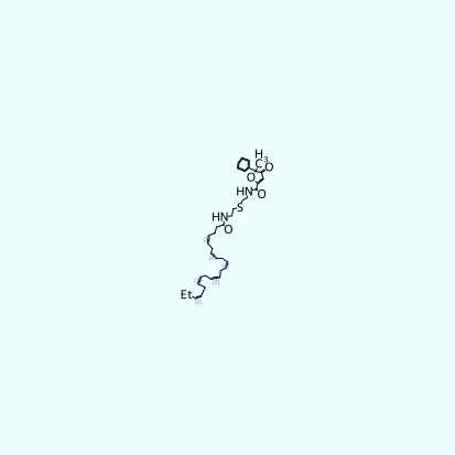 CC/C=C\C/C=C\C/C=C\C/C=C\C/C=C\C/C=C\CCC(=O)NCCSCCNC(=O)C1=CC(=O)C(C)(c2ccccc2)O1